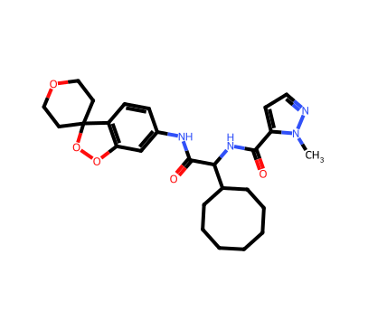 Cn1nccc1C(=O)NC(C(=O)Nc1ccc2c(c1)OOC21CCOCC1)C1CCCCCCC1